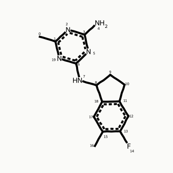 Cc1nc(N)nc(NC2CCc3cc(F)c(C)cc32)n1